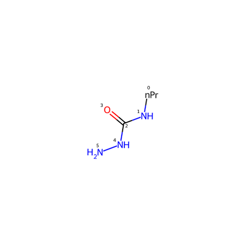 CCCNC(=O)NN